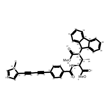 COC(=O)[C@@H](NC(=O)c1ccc(C#CC#Cc2cncn2C)cc1)[C@@H](C)N(C(=O)OC)C1c2ccccc2-c2ccccc21